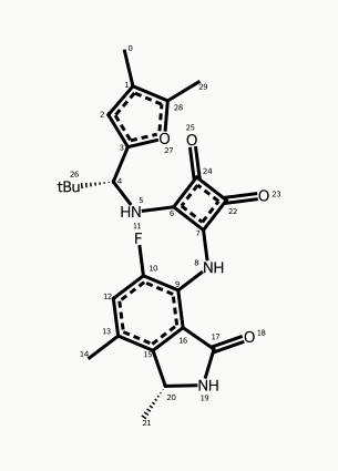 Cc1cc([C@H](Nc2c(Nc3c(F)cc(C)c4c3C(=O)N[C@@H]4C)c(=O)c2=O)C(C)(C)C)oc1C